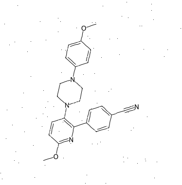 COc1ccc(N2CCN(c3ccc(OC)nc3-c3ccc(C#N)cc3)CC2)cc1